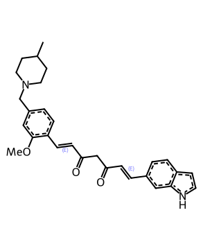 COc1cc(CN2CCC(C)CC2)ccc1/C=C/C(=O)CC(=O)/C=C/c1ccc2cc[nH]c2c1